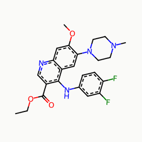 CCOC(=O)c1cnc2cc(OC)c(N3CCN(C)CC3)cc2c1Nc1ccc(F)c(F)c1